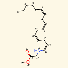 CC/C=C\C/C=C\C/C=C\C/C=C\C/C=C\NCC(=O)OC